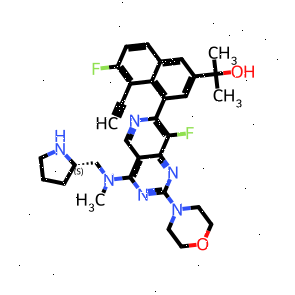 C#Cc1c(F)ccc2cc(C(C)(C)O)cc(-c3ncc4c(N(C)C[C@@H]5CCCN5)nc(N5CCOCC5)nc4c3F)c12